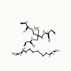 C=CC(=O)OCC(CO)(COC(=O)C=C)COC(=O)C=C.O=C=NCCCCCCN=C=O